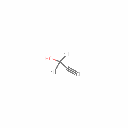 [2H]C([2H])(O)C#C